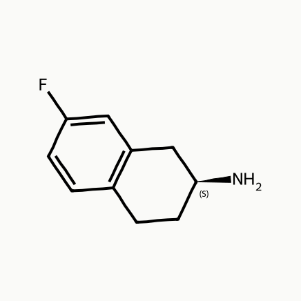 N[C@H]1CCc2ccc(F)cc2C1